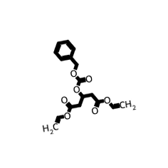 C=COC(=O)CC(CC(=O)OC=C)OC(=O)OCc1ccccc1